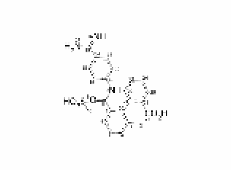 CS(=O)(=O)O.Cc1cccc(C(=O)Nc2ccc(C(=N)N)cc2)c1-c1ccccc1C(=O)O